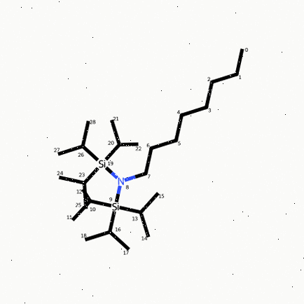 CCCCCCCCN([Si](C(C)C)(C(C)C)C(C)C)[Si](C(C)C)(C(C)C)C(C)C